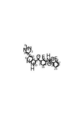 Cc1ncc(-c2cnc3[nH]cc(C(=O)c4cccc(NS(=O)(=O)c5ccccc5F)c4F)c3c2)cn1